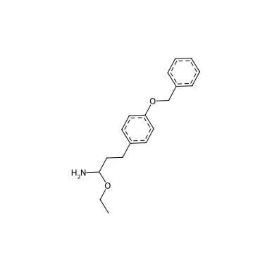 CCOC(N)CCc1ccc(OCc2ccccc2)cc1